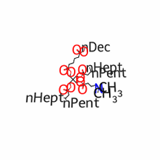 CCCCCCCCCCOC(=O)CCCCC(=O)OCC(COC(=O)CCCN(C)C)(COC(=O)CC(CCCCC)CCCCCCC)COC(=O)CC(CCCCC)CCCCCCC